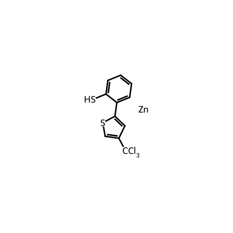 Sc1ccccc1-c1cc(C(Cl)(Cl)Cl)cs1.[Zn]